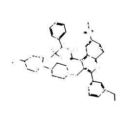 COC1CCN(C2CCN(Cc3c(-c4cccc(CF)c4)nc4ccc(S(C)(=O)=O)cc4c3C(=O)N[C@H](c3ccccc3)C(F)(F)F)CC2)CC1